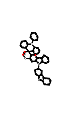 c1ccc(N2c3ccccc3C3(c4ccccc4Oc4cc5c(cc43)c3ccccc3n5-c3ccc4oc5ccccc5c4c3)c3ccccc32)cc1